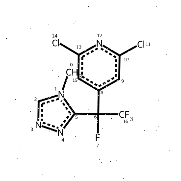 Cn1cnnc1C(F)(c1cc(Cl)nc(Cl)c1)C(F)(F)F